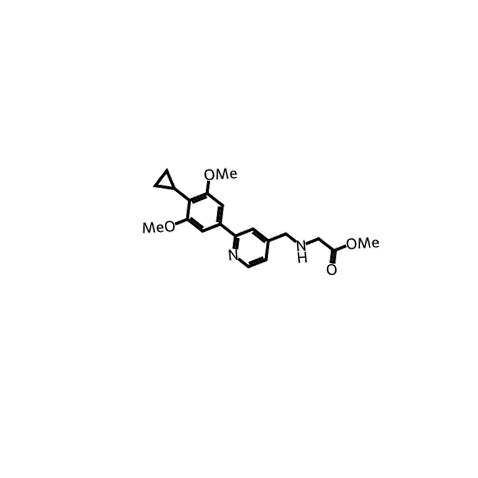 COC(=O)CNCc1ccnc(-c2cc(OC)c(C3CC3)c(OC)c2)c1